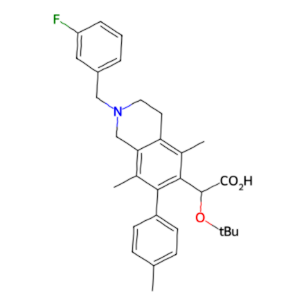 Cc1ccc(-c2c(C)c3c(c(C)c2C(OC(C)(C)C)C(=O)O)CCN(Cc2cccc(F)c2)C3)cc1